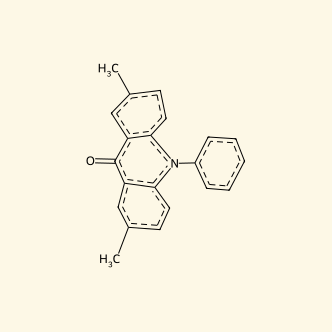 Cc1ccc2c(c1)c(=O)c1cc(C)ccc1n2-c1ccccc1